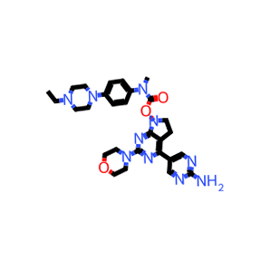 CCN1CCN(c2ccc(N(C)C(=O)ON3CCc4c(-c5cnc(N)nc5)nc(N5CCOCC5)nc43)cc2)CC1